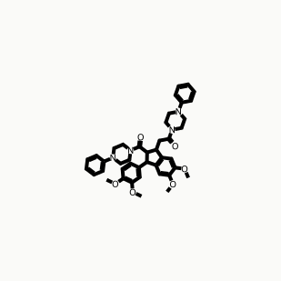 COc1ccc(C2c3cc(OC)c(OC)cc3C(CC(=O)N3CCN(c4ccccc4)CC3)C2C(=O)N2CCN(c3ccccc3)CC2)cc1OC